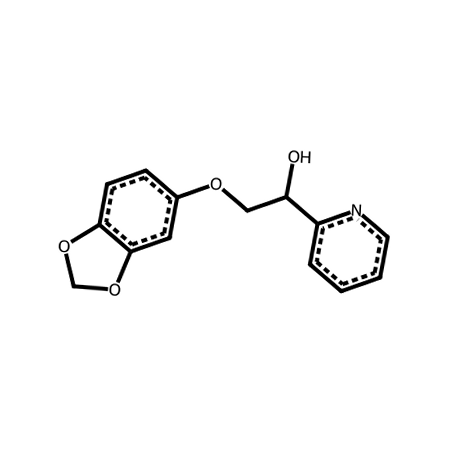 OC(COc1ccc2c(c1)OCO2)c1ccccn1